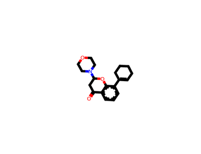 O=C1CC(N2CCOCC2)Oc2c1cccc2C1=CCCCC1